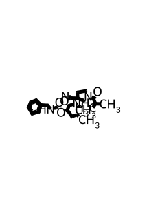 CC(C)CC(OC(=O)NCc1ccccc1)C(=O)NC1(C#N)CCN(C(=O)C(C)C)C1